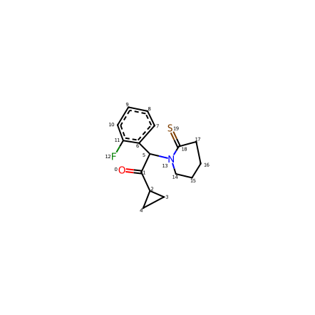 O=C(C1CC1)C(c1ccccc1F)N1CCCCC1=S